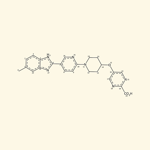 Cc1ccc2[nH]c(-c3ccc(N4CCC(Oc5cnc(C(=O)O)nc5)CC4)nc3)nc2c1